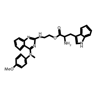 COc1ccc(N(C)c2nc(NCCOC(=O)C(N)Cc3c[nH]c4ccccc34)nc3ccccc23)cc1